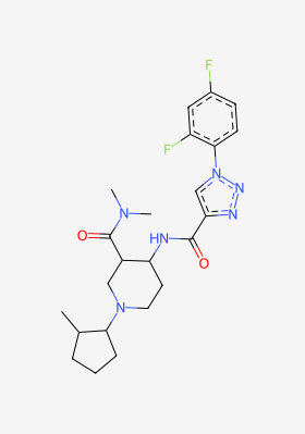 CC1CCCC1N1CCC(NC(=O)c2cn(-c3ccc(F)cc3F)nn2)C(C(=O)N(C)C)C1